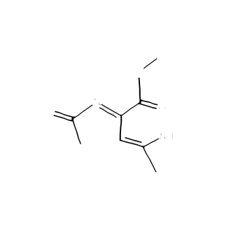 C=C(O)/N=C(\C=C(\C)N)C(=O)OC